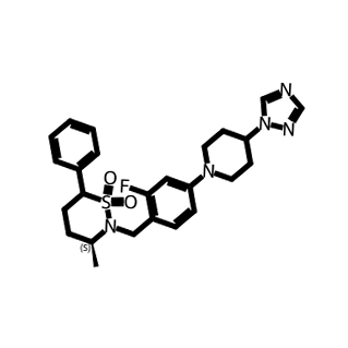 C[C@H]1CCC(c2ccccc2)S(=O)(=O)N1Cc1ccc(N2CCC(n3cncn3)CC2)cc1F